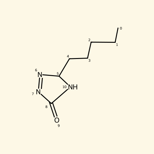 CCCCCC1N=NC(=O)N1